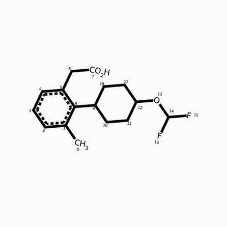 Cc1cccc(CC(=O)O)c1C1CCC(OC(F)F)CC1